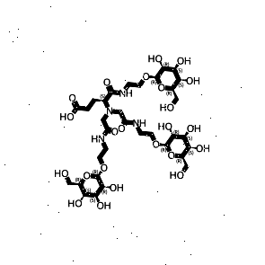 O=C(O)CC[C@@H](C(=O)NCCO[C@@H]1O[C@H](CO)[C@@H](O)[C@H](O)[C@H]1O)N(CC(=O)NCCO[C@@H]1O[C@H](CO)[C@@H](O)[C@H](O)[C@H]1O)CC(=O)NCCO[C@@H]1O[C@H](CO)[C@@H](O)[C@H](O)[C@H]1O